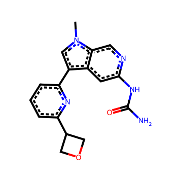 Cn1cc(-c2cccc(C3COC3)n2)c2cc(NC(N)=O)ncc21